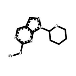 CC(C)Oc1ncc2cnn(C3CCCCO3)c2n1